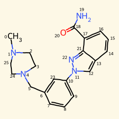 CN1CCN(Cc2cccc(-n3cc4cccc(C(N)=O)c4n3)c2)CC1